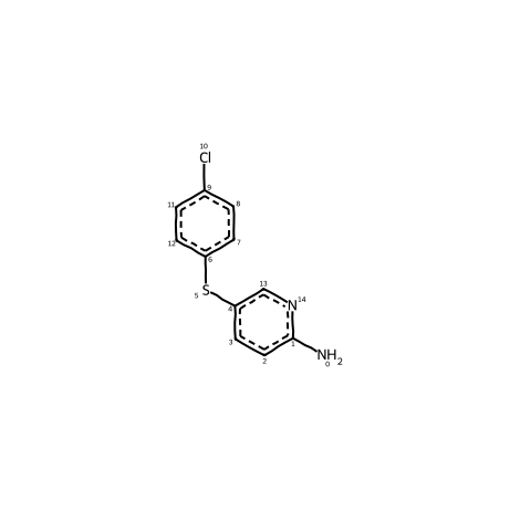 Nc1ccc(Sc2ccc(Cl)cc2)cn1